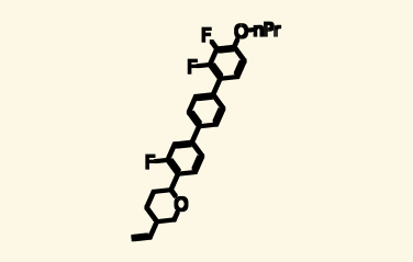 C=CC1CCC(c2ccc(-c3ccc(-c4ccc(OCCC)c(F)c4F)cc3)cc2F)OC1